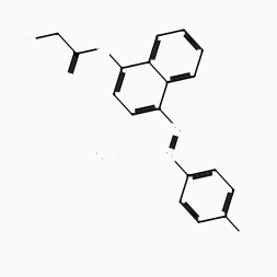 CCCCCCCCCCCC(=O)Oc1ccc(N=Nc2ccc(S(=O)(=O)O)cc2)c2ccccc12.[NaH]